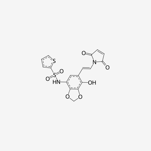 O=C1C=CC(=O)N1C=Cc1cc(NS(=O)(=O)c2cccs2)c2c(c1O)OCO2